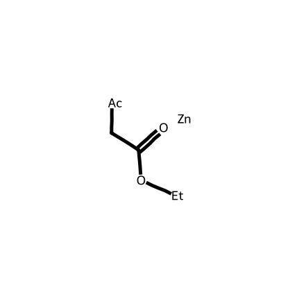 [CH2]COC(=O)CC(C)=O.[Zn]